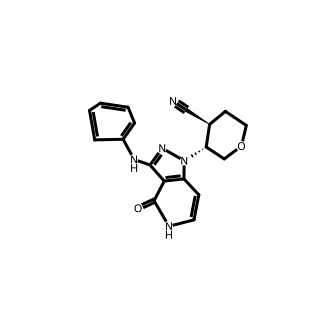 N#C[C@H]1CCOC[C@@H]1n1nc(Nc2ccccc2)c2c(=O)[nH]ccc21